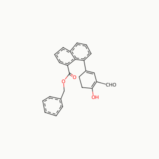 O=CC1=C(O)CCC(c2cccc3cccc(C(=O)OCc4ccccc4)c23)=C1